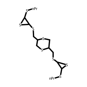 CCCSC1SC1SCC1CSC(CSC2SC2SCCC)CS1